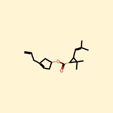 C=CCC1=CC[C@@H](OC(=O)[C@@H]2C(C=C(C)C)C2(C)C)C1